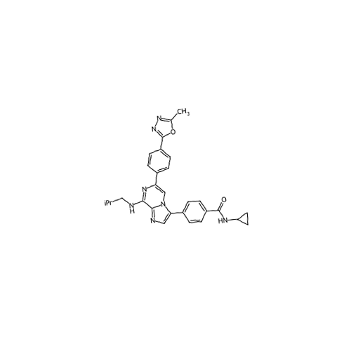 Cc1nnc(-c2ccc(-c3cn4c(-c5ccc(C(=O)NC6CC6)cc5)cnc4c(NCC(C)C)n3)cc2)o1